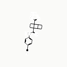 COC(=O)C12C3C4C5C3C1(C(=O)Nc1ccc(C#N)cc1)C5C42